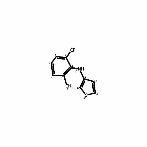 Cc1cccc(Cl)c1Nc1ccsc1